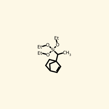 CCO[Si](OCC)(OCC)C(C)C12C=CC(CC1)C2